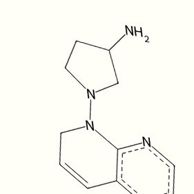 NC1CCN(N2CC=Cc3cccnc32)C1